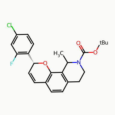 CC1c2c(ccc3c2O[C@@H](c2ccc(Cl)cc2F)C=C3)CCN1C(=O)OC(C)(C)C